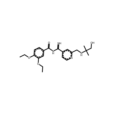 CCOc1ccc(C(=O)NC(=N)c2ccnc(CNC(C)(C)CO)c2)cc1OCC